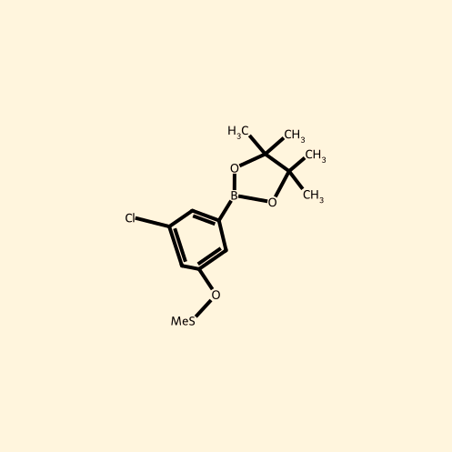 CSOc1cc(Cl)cc(B2OC(C)(C)C(C)(C)O2)c1